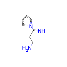 N=C(CCN)n1cccc1